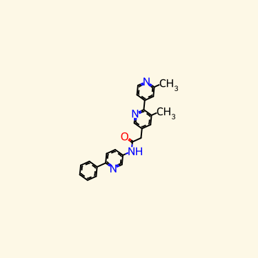 Cc1cc(-c2ncc(CC(=O)Nc3ccc(-c4ccccc4)nc3)cc2C)ccn1